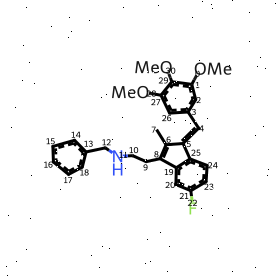 COc1cc(C=C2C(C)=C(CCNCc3ccccc3)c3cc(F)ccc32)cc(OC)c1OC